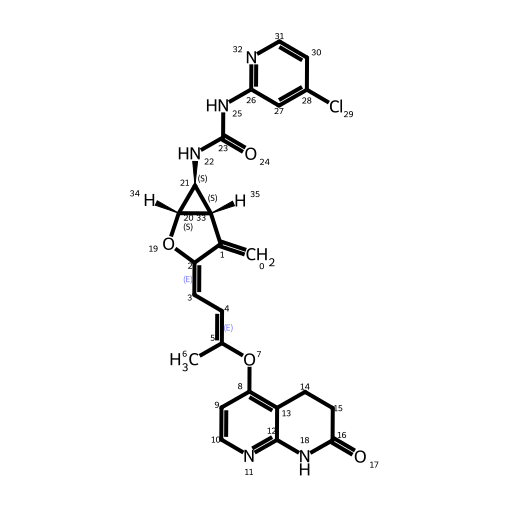 C=C1/C(=C\C=C(/C)Oc2ccnc3c2CCC(=O)N3)O[C@@H]2[C@@H](NC(=O)Nc3cc(Cl)ccn3)[C@H]12